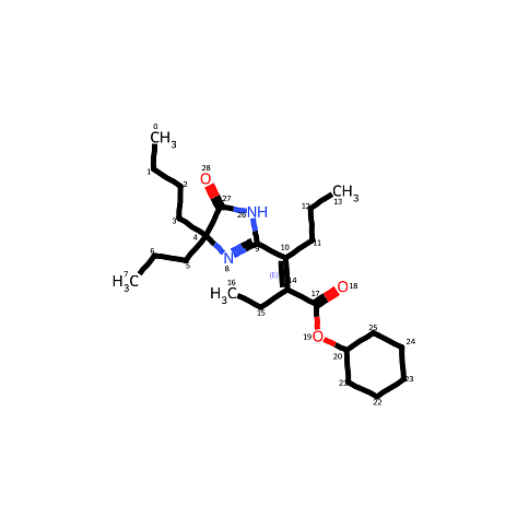 CCCCC1(CCC)N=C(/C(CCC)=C(\CC)C(=O)OC2CCCCC2)NC1=O